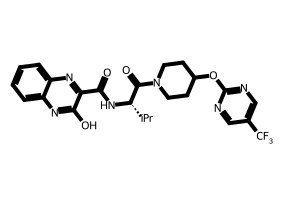 CC(C)[C@H](NC(=O)c1nc2ccccc2nc1O)C(=O)N1CCC(Oc2ncc(C(F)(F)F)cn2)CC1